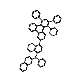 C1=CCCC(c2c(-c3ccccc3)cc(-c3ccccc3)c3c4ccccc4c4cc(-c5ccc(N(c6ccccc6)c6ccc7ccccc7c6)c6c5CCC=C6)ccc4c23)=C1